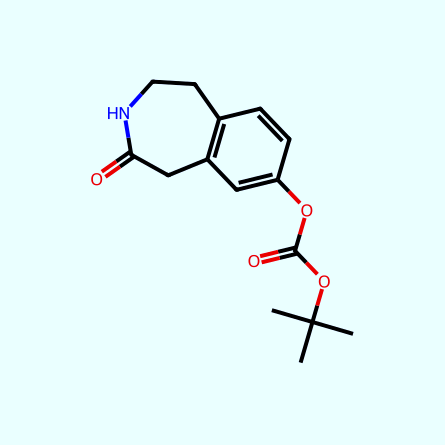 CC(C)(C)OC(=O)Oc1ccc2c(c1)CC(=O)NCC2